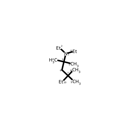 CCN(CC)C(C)(C)CC(C)(C)CC